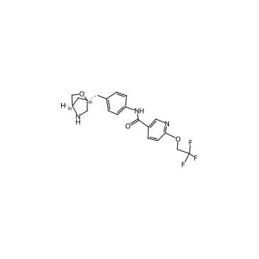 O=C(Nc1ccc(C[C@@]23CN[C@@H](CO2)C3)cc1)c1ccc(OCC(F)(F)F)nc1